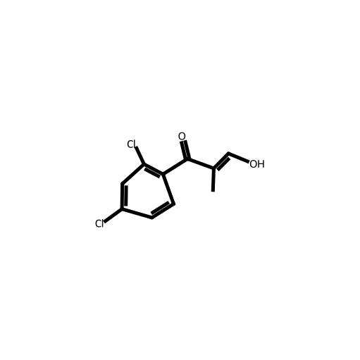 C/C(=C\O)C(=O)c1ccc(Cl)cc1Cl